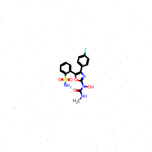 CNC(=O)N(O)c1nc(-c2ccc(F)cc2)c(-c2ccccc2S(N)(=O)=O)o1